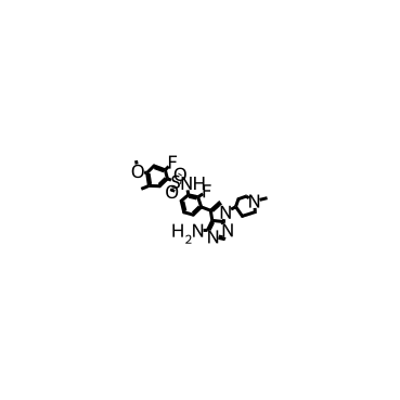 COc1cc(F)c(S(=O)(=O)Nc2cccc(-c3cn(C4CCN(C)CC4)c4ncnc(N)c34)c2F)cc1C